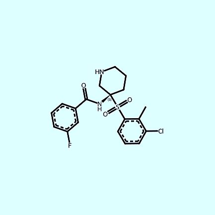 Cc1c(Cl)cccc1S(=O)(=O)[C@@]1(NC(=O)c2cccc(F)c2)CCCNC1